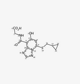 O=C(O)CNC(=O)c1c(O)cc(SCC2CC2)n2ncnc12